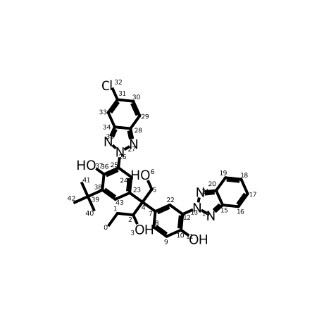 CCC(O)C(CO)(c1ccc(O)c(-n2nc3ccccc3n2)c1)c1cc(-n2nc3ccc(Cl)cc3n2)c(O)c(C(C)(C)C)c1